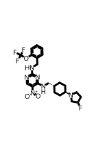 O=[N+]([O-])c1cnc(NCc2ccccc2OC(F)(F)F)nc1NC[C@H]1CC[C@H](N2CCC(F)C2)CC1